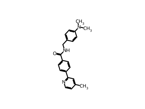 Cc1ccnc(-c2ccc(C(=O)NCc3ccc(N(C)C)cc3)cc2)c1